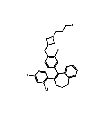 FCCCN1CC(Cc2ccc(C3=C(c4ccc(F)cc4Cl)CCCc4ccccc43)cc2F)C1